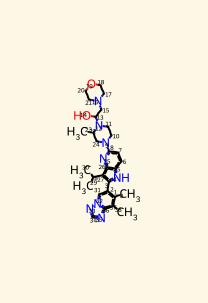 Cc1c(-c2[nH]c3ccc(N4CCN(C(O)CN5CCOCC5)[C@H](C)C4)nc3c2C(C)C)cn2ncnc2c1C